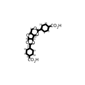 O=C(O)C1CCC(C2OCC3OC4OC(C5CCC(C(=O)O)CC5)OC4C3O2)CC1